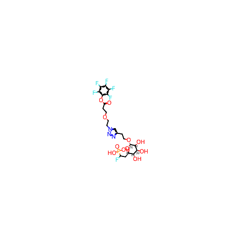 O=C(CCOCCn1cc(CCO[C@H]2O[C@H](CC(F)P(=O)(O)O)[C@@H](O)[C@H](O)[C@@H]2O)nn1)Oc1c(F)c(F)c(F)c(F)c1F